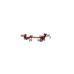 Cc1ncsc1-c1ccc(CNC(=O)[C@@H]2C[C@@H](O)CN2C(=O)[C@@H](NC(=O)CCCCCCCCCCCCCCCC(=O)NCc2ccc(CCOc3cc(-c4ccccc4O)nnc3N)cc2)C(C)C)cc1